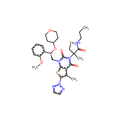 CCCNC(=O)C(C)(CC)n1c(=O)c2c(C)c(-n3nccn3)sc2n(C[C@H](OC2CCOCC2)c2ccccc2OC)c1=O